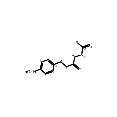 C=C(CCc1ccc(CCCCCCCC)cc1)CSC(=C)C